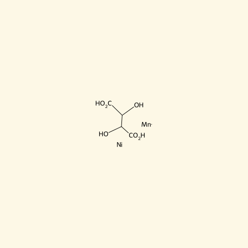 O=C(O)C(O)C(O)C(=O)O.[Mn].[Ni]